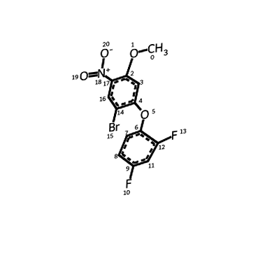 COc1cc(Oc2ccc(F)cc2F)c(Br)cc1[N+](=O)[O-]